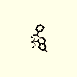 COP(=O)(OC)C1c2ccc(C)cc2C=CN1C(C)c1ccccc1